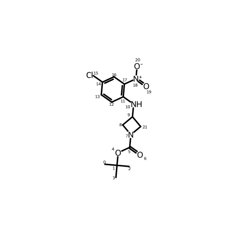 CC(C)(C)OC(=O)N1CC(Nc2ccc(Cl)cc2[N+](=O)[O-])C1